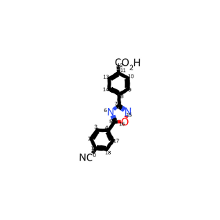 N#Cc1ccc(-c2nc(-c3ccc(C(=O)O)cc3)no2)cc1